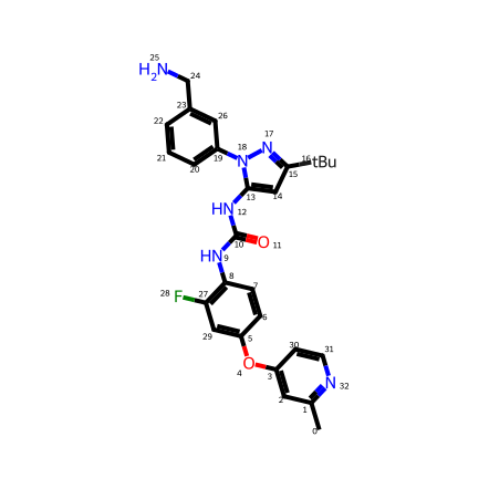 Cc1cc(Oc2ccc(NC(=O)Nc3cc(C(C)(C)C)nn3-c3cccc(CN)c3)c(F)c2)ccn1